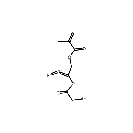 C=C(C)C(=O)OCC(=[N+]=[N-])OC(=O)CC(C)=O